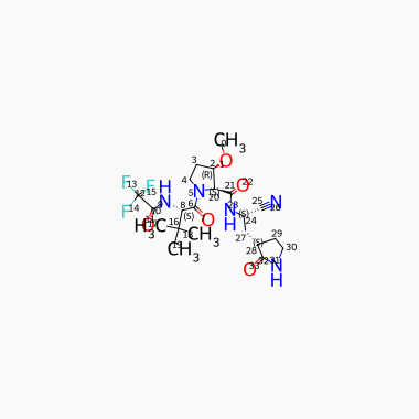 CO[C@@H]1CCN(C(=O)[C@@H](NC(=O)C(F)(F)F)C(C)(C)C)[C@@H]1C(=O)N[C@H](C#N)C[C@@H]1CCNC1=O